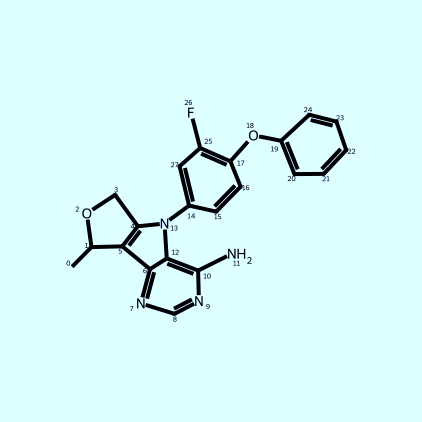 CC1OCc2c1c1ncnc(N)c1n2-c1ccc(Oc2ccccc2)c(F)c1